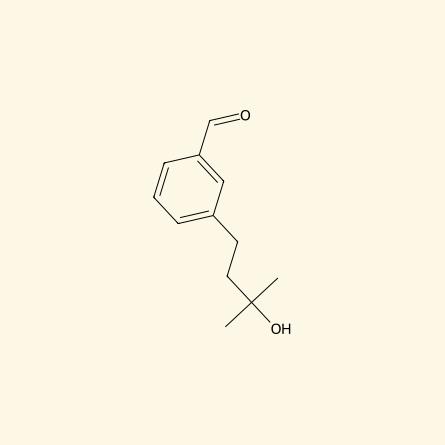 CC(C)(O)CCc1cccc(C=O)c1